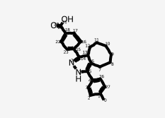 Cc1ccc(C2=C3CCCCCCC3C(c3ccc(C(=O)O)cc3)=NN2)cc1